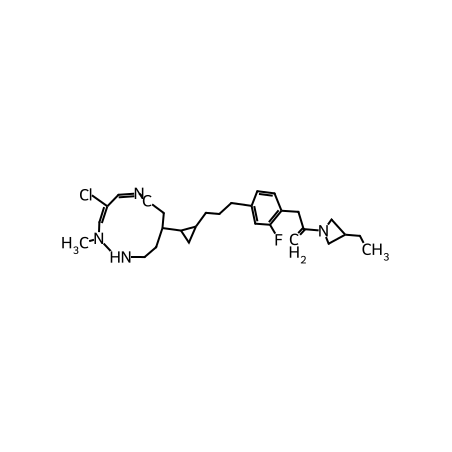 C=C(Cc1ccc(CCCC2CC2C2CC/N=C\C(Cl)=C/N(C)CNCC2)cc1F)N1CC(CC)C1